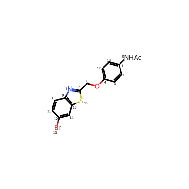 CC(=O)Nc1ccc(OCc2nc3ccc(Br)cc3s2)cc1